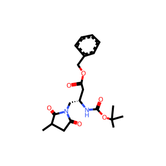 CC1CC(=O)N(C[C@H](CC(=O)OCc2ccccc2)NC(=O)OC(C)(C)C)C1=O